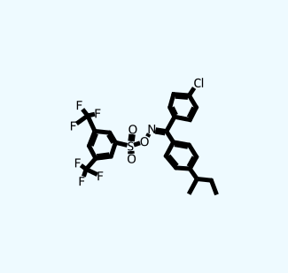 CCC(C)c1ccc(/C(=N\OS(=O)(=O)c2cc(C(F)(F)F)cc(C(F)(F)F)c2)c2ccc(Cl)cc2)cc1